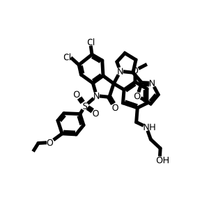 CCOc1ccc(S(=O)(=O)N2C(=O)C(c3cc(CNCCO)ccc3OC)(N3CCCC3c3ncco3)c3cc(Cl)c(Cl)cc32)cc1